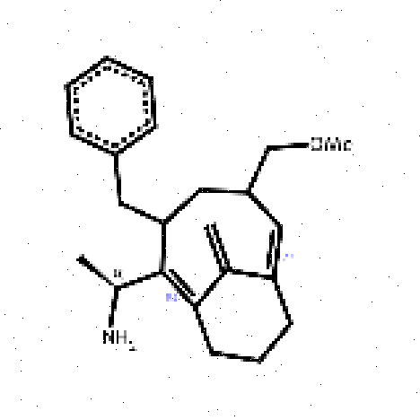 C=C1/C2=C\C(COC)CC(Cc3ccccc3)/C([C@H](C)N)=C\1CCC2